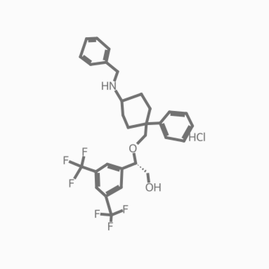 Cl.OC[C@@H](OCC1(c2ccccc2)CCC(NCc2ccccc2)CC1)c1cc(C(F)(F)F)cc(C(F)(F)F)c1